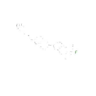 CCCCCCC1CCC2CC(c3ccc4cc(C(F)(F)F)c(F)cc4c3)CCC2C1